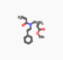 C=CC(=O)N(C=Cc1ccccc1)C(C)(C)C.C=CC(=O)OCCCC